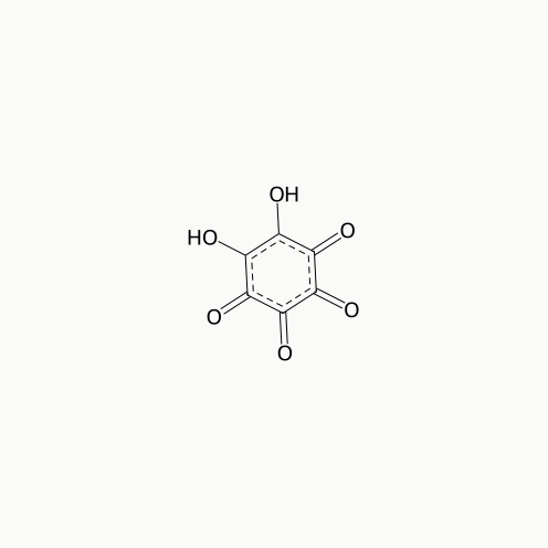 O=c1c(O)c(O)c(=O)c(=O)c1=O